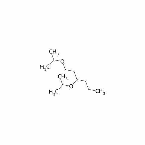 CCCC(CCOC(C)C)OC(C)C